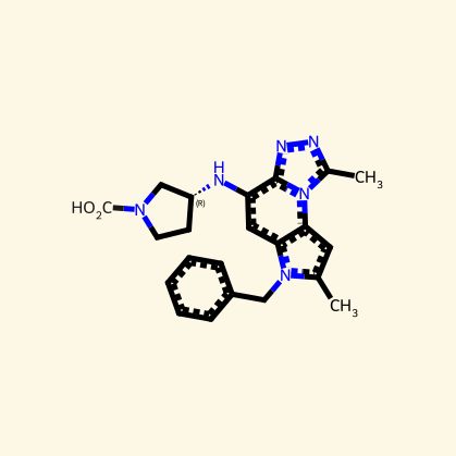 Cc1cc2c(cc(N[C@@H]3CCN(C(=O)O)C3)c3nnc(C)n32)n1Cc1ccccc1